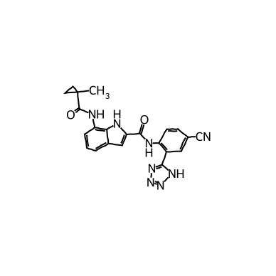 CC1(C(=O)Nc2cccc3cc(C(=O)Nc4ccc(C#N)cc4-c4nnn[nH]4)[nH]c23)CC1